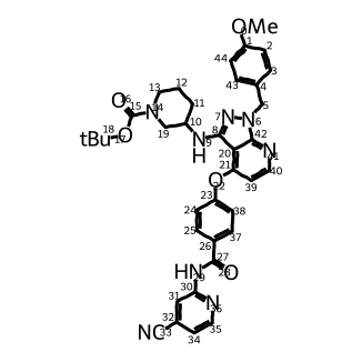 COc1ccc(Cn2nc(NC3CCCN(C(=O)OC(C)(C)C)C3)c3c(Oc4ccc(C(=O)Nc5cc(C#N)ccn5)cc4)ccnc32)cc1